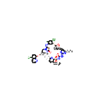 COC(=O)CSc1cc(/N=c2\sc(=O)n3n2CCCC3)c(F)cc1Cl.COc1cc(OC)nc(NC(=O)NS(=O)(=O)c2nc(C(F)(F)F)ccc2C(=O)O)n1.O=C(O)COc1ccc(Cl)c2cccnc12